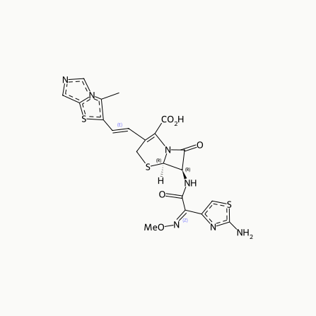 CO/N=C(\C(=O)N[C@@H]1C(=O)N2C(C(=O)O)=C(/C=C/c3sc4cncn4c3C)CS[C@H]12)c1csc(N)n1